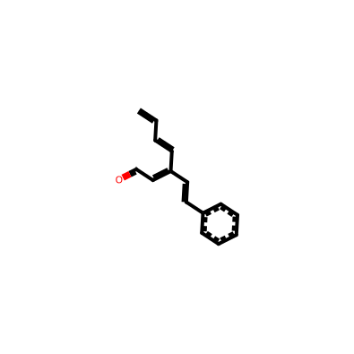 C=CC=CC(C=Cc1ccccc1)=C[C]=O